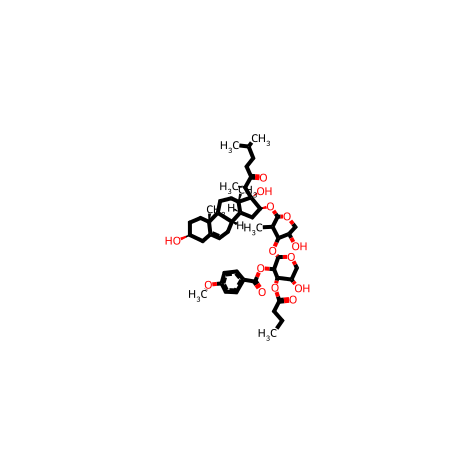 CCCC(=O)OC1C(O)COC(OC2C(O)COC(O[C@H]3C[C@H]4[C@@H]5CC=C6C[C@@H](O)CC[C@]6(C)C5CC[C@]4(C)[C@@]3(O)[C@H](C)C(=O)CCC(C)C)C2C)C1OC(=O)c1ccc(OC)cc1